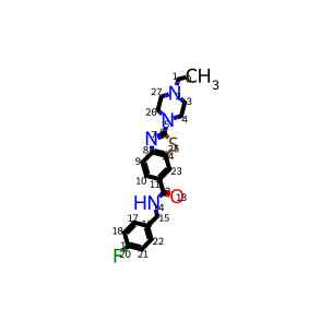 CCN1CCN(c2nc3ccc(C(=O)NCc4ccc(F)cc4)cc3s2)CC1